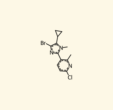 Cc1nc(Cl)ccc1-c1nc(Br)c(C2CC2)n1C